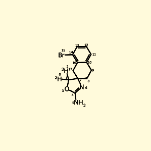 [2H]C1([2H])OC(N)=N[C@]12CCc1cccc(Br)c1C2